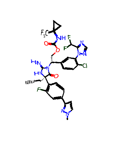 Cn1ccc(-c2ccc([C@@]3(CC(C)(C)C)NC(=N)N([C@H](COC(=O)NC4(C(F)(F)F)CC4)c4ccc(Cl)c(-n5ncnc5C(F)F)c4)C3=O)c(F)c2)n1